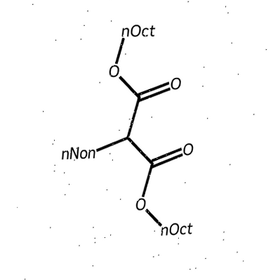 CCCCCCCCCC(C(=O)OCCCCCCCC)C(=O)OCCCCCCCC